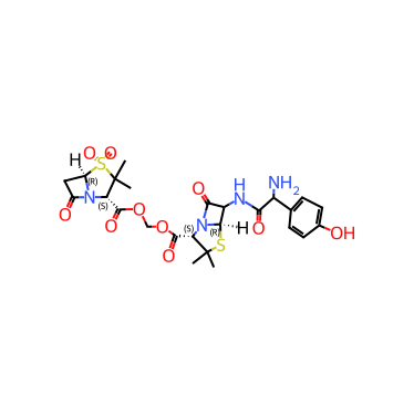 CC1(C)S[C@@H]2C(NC(=O)C(N)c3ccc(O)cc3)C(=O)N2[C@H]1C(=O)OCOC(=O)[C@@H]1N2C(=O)C[C@H]2S(=O)(=O)C1(C)C